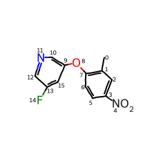 Cc1cc([N+](=O)[O-])ccc1Oc1cncc(F)c1